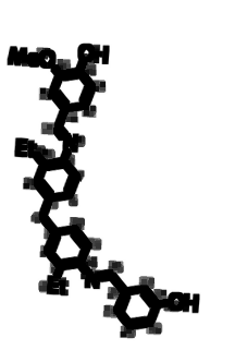 CCc1cc(Cc2ccc(/N=C/c3ccc(O)c(OC)c3)c(CC)c2)ccc1/N=C/c1cccc(O)c1